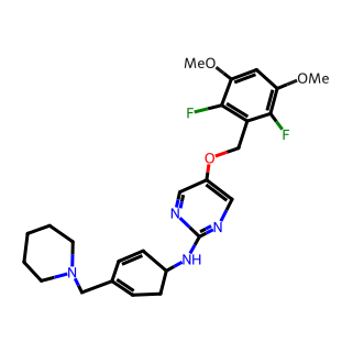 COc1cc(OC)c(F)c(COc2cnc(NC3C=CC(CN4CCCCC4)=CC3)nc2)c1F